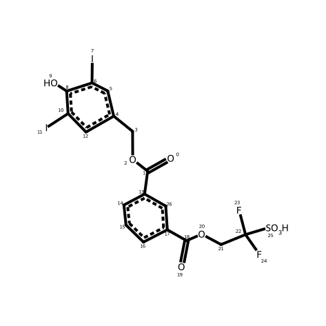 O=C(OCc1cc(I)c(O)c(I)c1)c1cccc(C(=O)OCC(F)(F)S(=O)(=O)O)c1